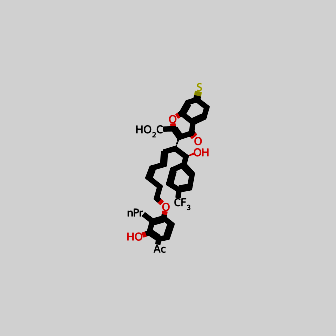 CCCc1c(OCC/C=C\C=C\[C@H](c2c(C(=O)O)oc3c(c2=O)=CCC(=S)C=3)[C@H](O)c2ccc(C(F)(F)F)cc2)ccc(C(C)=O)c1O